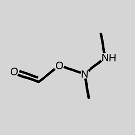 CNN(C)OC=O